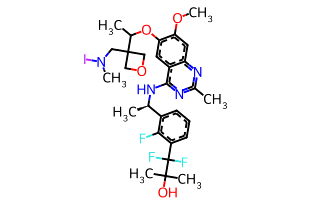 COc1cc2nc(C)nc(N[C@H](C)c3cccc(C(F)(F)C(C)(C)O)c3F)c2cc1OC(C)C1(CN(C)I)COC1